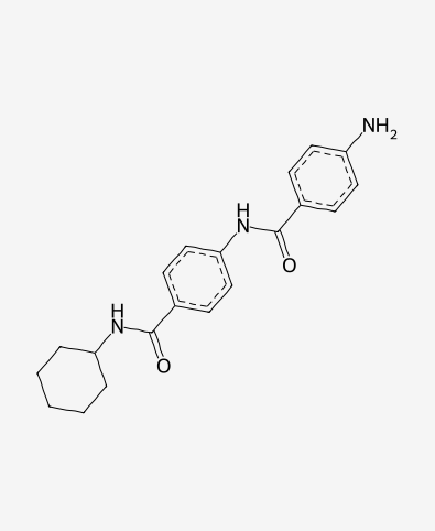 Nc1ccc(C(=O)Nc2ccc(C(=O)NC3CCCCC3)cc2)cc1